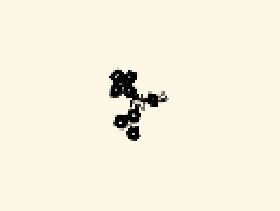 C[Si](C)(C)c1ccc(-c2nc(-c3ccc([Si](c4ccccc4)(c4ccccc4)c4ccccc4)cc3)nc(-c3ccc4c(c3)c3ccccc3n4-c3ccccc3)n2)cc1